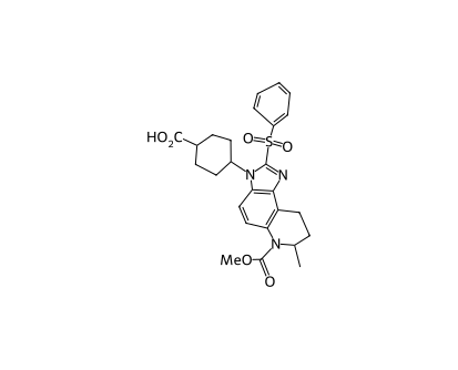 COC(=O)N1c2ccc3c(nc(S(=O)(=O)c4ccccc4)n3C3CCC(C(=O)O)CC3)c2CCC1C